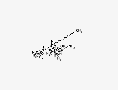 CCCCCCCCCCCCCCCC(=O)N[C@@H](CCCCNC(=O)OC(C)(C)C)C(=O)N[C@@H](C)C(=O)N[C@@H](C)C(=O)N[C@@H](CCCCN)C(=O)O